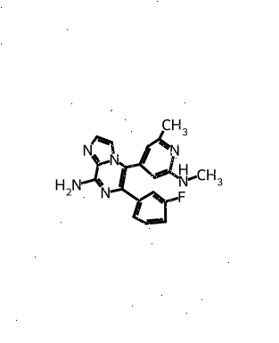 CNc1cc(-c2c(-c3cccc(F)c3)nc(N)c3nccn23)cc(C)n1